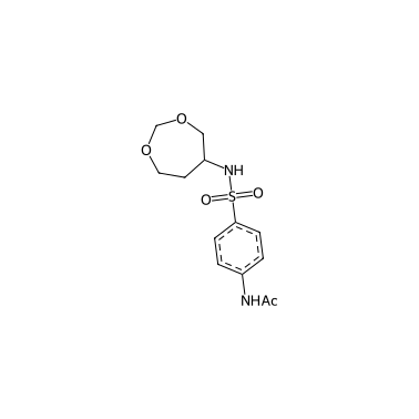 CC(=O)Nc1ccc(S(=O)(=O)NC2CCOCOC2)cc1